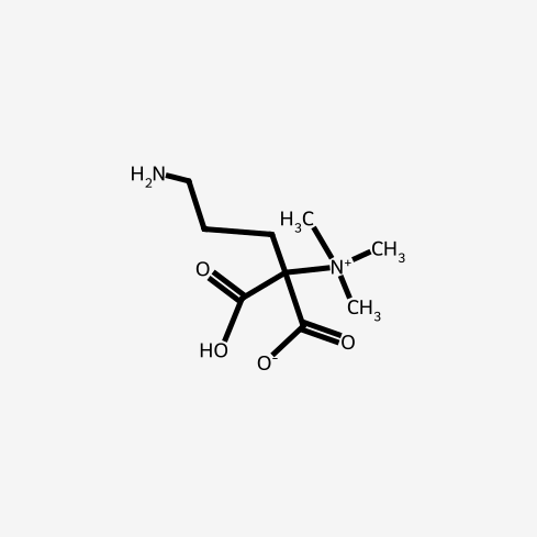 C[N+](C)(C)C(CCCN)(C(=O)[O-])C(=O)O